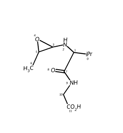 CC(C)C(NC1OC1C)C(=O)NCC(=O)O